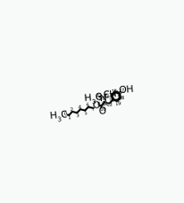 CCCCCCCCOC(=O)[C@H](Cc1ccc(O)cc1)N(C)C